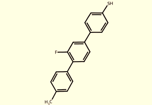 Cc1ccc(-c2ccc(-c3ccc(S)cc3)cc2F)cc1